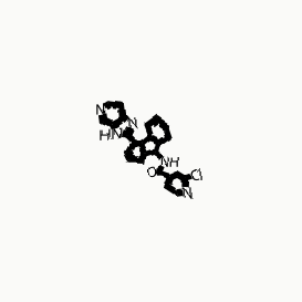 O=C(NC1c2ccccc2-c2c(-c3nc4ccncc4[nH]3)cccc21)c1ccnc(Cl)c1